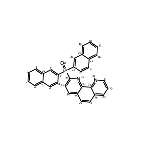 O=P(c1ccc2ccccc2c1)(c1ccc2ccccc2c1)c1ccc2ccc3cccnc3c2n1